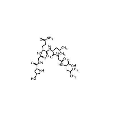 CC(C)C[C@H](NC(=O)CNC(=O)[C@H](CC(C)C)NC(=O)[C@H](CCC(N)=O)NC(=O)CNC(=O)[C@H]1C[C@H](O)CN1)C(=O)O